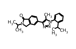 Cc1c(-c2ccc3c(c2)CN(C(C)C)C3=O)nnn1-c1ccccc1C(C)C